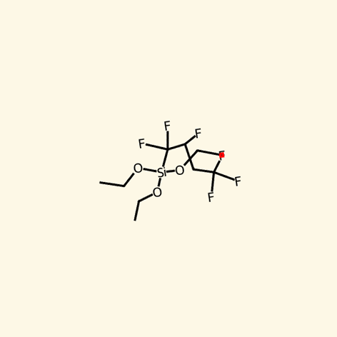 CCO[Si](OCC)(OCC)C(F)(F)C(F)CC(F)(F)F